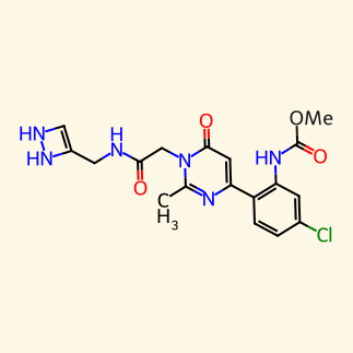 COC(=O)Nc1cc(Cl)ccc1-c1cc(=O)n(CC(=O)NCc2c[nH][nH]2)c(C)n1